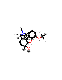 [2H]OC1([2H])C=C[C@@]2([2H])[C@@H]3N(C)CC[C@@]24c2c(ccc(OC([2H])([2H])[2H])c2OC14)C3([2H])[2H]